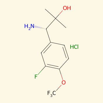 CC(C)(O)[C@@H](N)c1ccc(OC(F)(F)F)c(F)c1.Cl